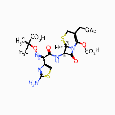 CC(=O)OCC1=C(OC(=O)O)N2C(=O)[C@@H](NC(=O)/C(=N\OC(C)(C)C(=O)O)c3csc(N)n3)[C@H]2SC1